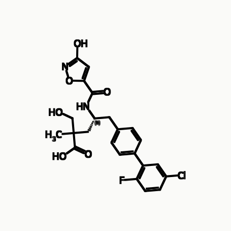 CC(CO)(C[C@@H](Cc1ccc(-c2cc(Cl)ccc2F)cc1)NC(=O)c1cc(O)no1)C(=O)O